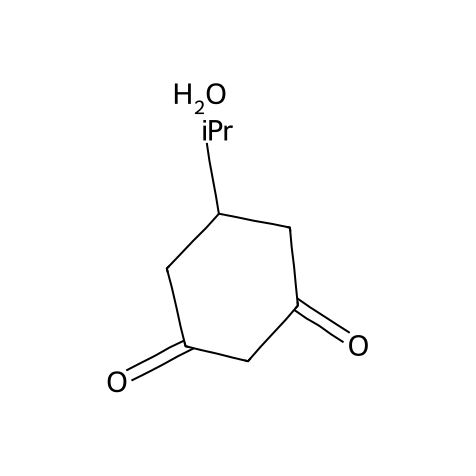 CC(C)C1CC(=O)CC(=O)C1.O